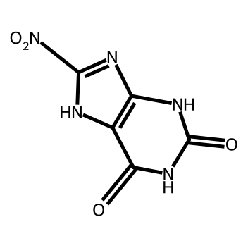 O=c1[nH]c(=O)c2[nH]c([N+](=O)[O-])nc2[nH]1